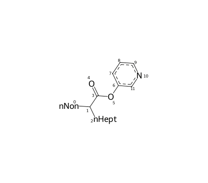 CCCCCCCCCC(CCCCCCC)C(=O)Oc1cccnc1